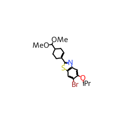 COC(OC)C1CC=C(c2nc3cc(OC(C)C)c(Br)cc3s2)CC1